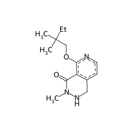 CCC(C)(C)COc1nccc2c1C(=O)N(C)NC2